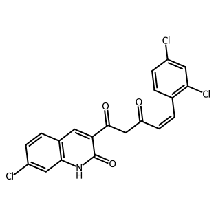 O=C(/C=C\c1ccc(Cl)cc1Cl)CC(=O)c1cc2ccc(Cl)cc2[nH]c1=O